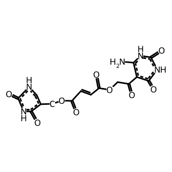 Nc1[nH]c(=O)[nH]c(=O)c1C(=O)COC(=O)/C=C/C(=O)OCc1c[nH]c(=O)[nH]c1=O